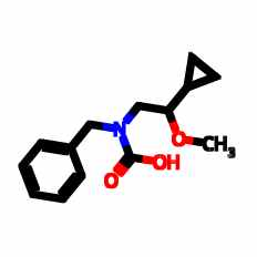 COC(CN(Cc1ccccc1)C(=O)O)C1CC1